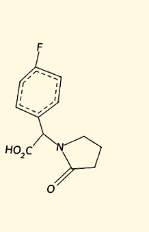 O=C(O)C(c1ccc(F)cc1)N1CCCC1=O